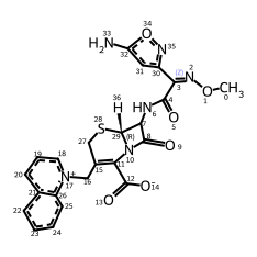 CO/N=C(\C(=O)NC1C(=O)N2C(C(=O)[O-])=C(C[n+]3cccc4ccccc43)CS[C@H]12)c1cc(N)on1